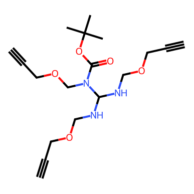 C#CCOCNC(NCOCC#C)N(COCC#C)C(=O)OC(C)(C)C